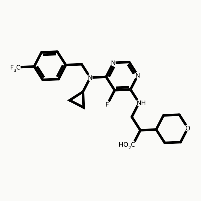 O=C(O)C(CNc1ncnc(N(Cc2ccc(C(F)(F)F)cc2)C2CC2)c1F)C1CCOCC1